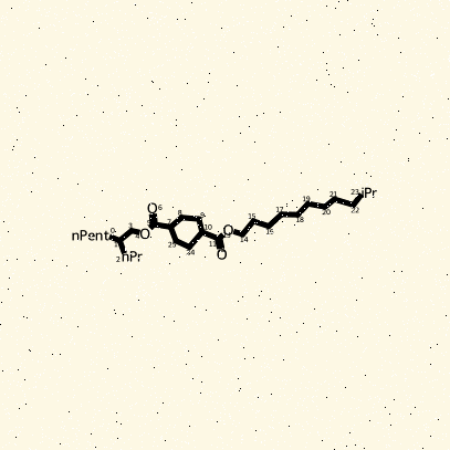 CCCCCC(CCC)COC(=O)C1CCC(C(=O)OCCCCCCCCCC(C)C)CC1